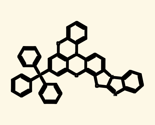 c1ccc([Si](c2ccccc2)(c2ccccc2)c2cc3c4c(c2)Oc2c(ccc5c2oc2nc6ccccc6n25)B4c2ccccc2O3)cc1